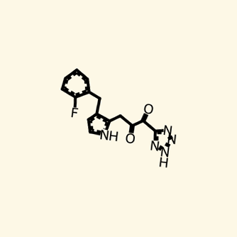 O=C(Cc1[nH]ccc1Cc1ccccc1F)C(=O)c1nn[nH]n1